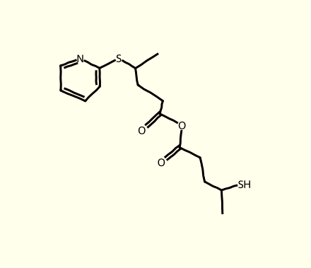 CC(S)CCC(=O)OC(=O)CCC(C)Sc1ccccn1